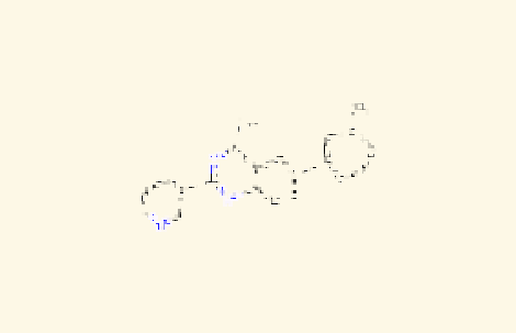 COc1nc(-c2cccnc2)nc2ccc(-c3cccc([N+](=O)[O-])c3)cc12